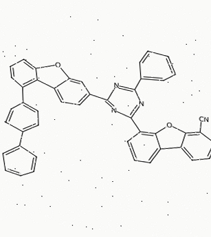 N#Cc1cccc2c1oc1c(-c3nc(-c4ccccc4)nc(-c4ccc5c(c4)oc4cccc(-c6ccc(-c7ccccc7)cc6)c45)n3)cccc12